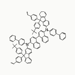 C=Cc1ccc(C2(c3ccc(C(C)(C)C)cc3)C3=C(C=CCC3)c3ccc(N(c4ccc(-c5ccccc5)cc4)c4ccc(-c5ccc(N(c6ccc(-c7ccccc7)cc6)c6ccc7c(c6)C(c6ccc(C=C)cc6)(c6ccc(C(C)(C)C)cc6)c6ccccc6-7)c6ccccc56)c5ccccc45)cc32)cc1